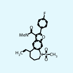 C=CC1CCCN(S(C)(=O)=O)c2cc3oc(-c4ccc(F)cc4)c(C(=O)NC)c3cc21